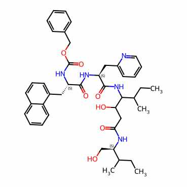 CCC(C)C(NC(=O)[C@H](Cc1ccccn1)NC(=O)[C@H](Cc1cccc2ccccc12)NC(=O)OCc1ccccc1)C(O)CC(=O)N[C@H](CO)C(C)CC